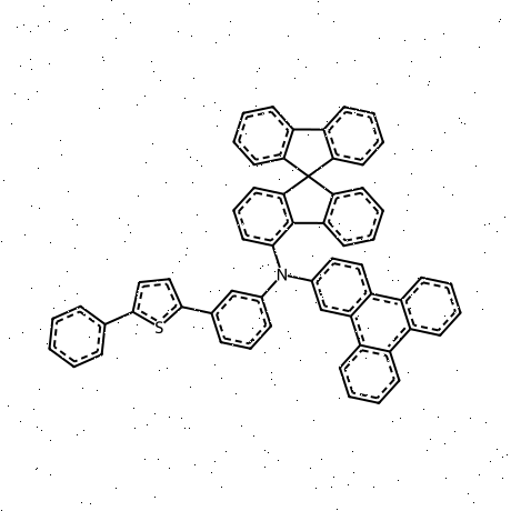 c1ccc(-c2ccc(-c3cccc(N(c4ccc5c6ccccc6c6ccccc6c5c4)c4cccc5c4-c4ccccc4C54c5ccccc5-c5ccccc54)c3)s2)cc1